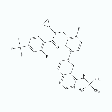 CC(C)(C)Nc1ncnc2ccc(-c3ccc(F)c(CN(C(=O)c4ccc(C(F)(F)F)cc4F)C4CC4)c3)cc12